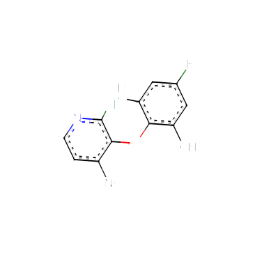 Cc1cc(F)cc(C)c1Oc1c([N+](=O)[O-])ccnc1Cl